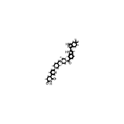 C[C@@H]1CN(C(=O)c2ccc3cc(-c4n[nH]c5c4CCC(C)(C)C5)[nH]c3c2)CCN1CC1CCN(c2ccc(C3CCC(=O)NC3=O)cn2)CC1